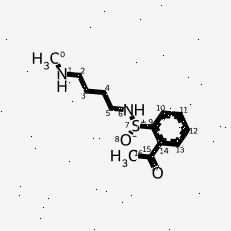 CNCCCCN[S+]([O-])c1ccccc1C(C)=O